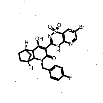 O=C1C(C2=NS(=O)(=O)c3cc(Br)cnc3N2)=C(O)C2C([C@@H]3CC[C@H]2C3)N1Cc1ccc(F)cc1